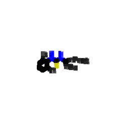 CCCCCC(CCCC)NC(=S)Nc1c(CC)cccc1CC